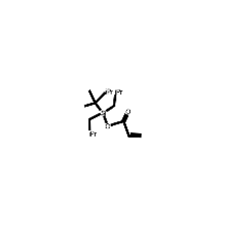 C=CC(=O)O[Si](CC(C)C)(CC(C)C)C(C)(C)C(C)C